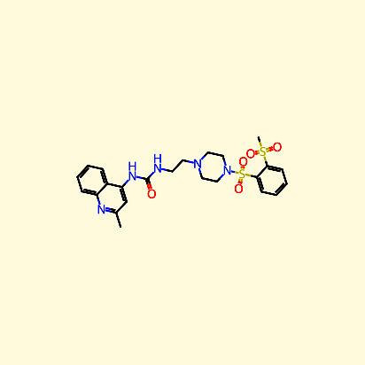 Cc1cc(NC(=O)NCCN2CCN(S(=O)(=O)c3ccccc3S(C)(=O)=O)CC2)c2ccccc2n1